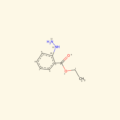 CCOC(=O)c1ccccc1NN